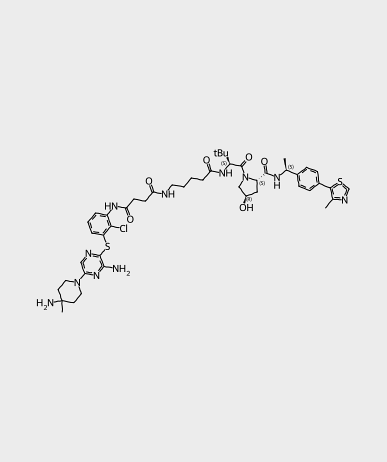 Cc1ncsc1-c1ccc([C@H](C)NC(=O)[C@@H]2C[C@@H](O)CN2C(=O)[C@@H](NC(=O)CCCCNC(=O)CCC(=O)Nc2cccc(Sc3ncc(N4CCC(C)(N)CC4)nc3N)c2Cl)C(C)(C)C)cc1